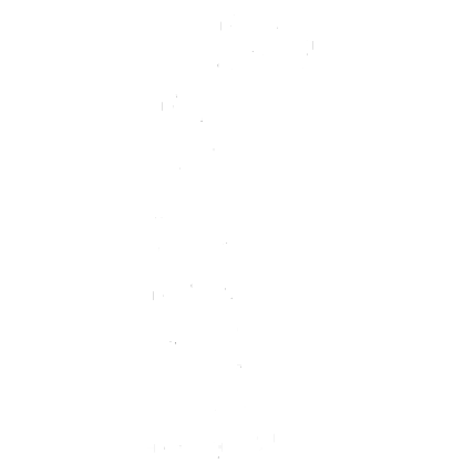 CCC(C)(CC)OCC(O)COc1ccc(C(C)(C)c2ccc(C(O)(CC)CC)cc2)cc1